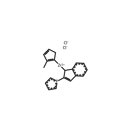 CC1=[C]([Zr+2][CH]2C(p3cccc3)=Cc3ccccc32)CC=C1.[Cl-].[Cl-]